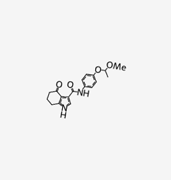 COC(C)Oc1ccc(NC(=O)c2c[nH]c3c2C(=O)CCC3)cc1